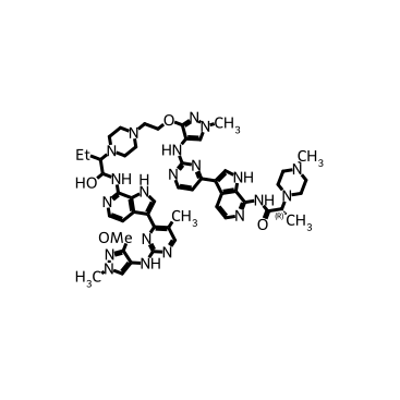 CCC(C(O)Nc1nccc2c(-c3nc(Nc4cn(C)nc4OC)ncc3C)c[nH]c12)N1CCN(CCOc2nn(C)cc2Nc2nccc(-c3c[nH]c4c(NC(=O)[C@@H](C)N5CCN(C)CC5)nccc34)n2)CC1